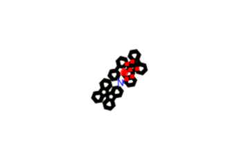 c1ccc(C2(c3cccc4c3oc3c(N(c5ccc6c(c5)C5(c7ccccc7-c7ccccc75)c5ccccc5-6)c5cccc6c5oc5ccccc56)cccc34)c3ccccc3-c3ccccc32)cc1